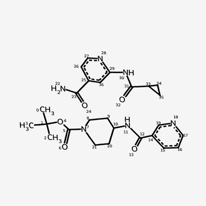 CC(C)(C)OC(=O)N1CCC(NC(=O)c2cccnc2)CC1.NC(=O)c1ccnc(NC(=O)C2CC2)c1